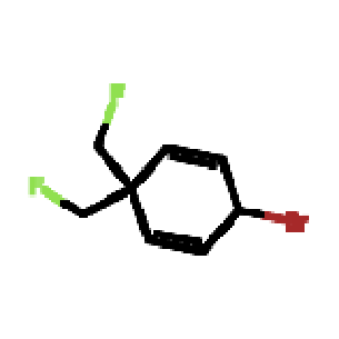 FCC1(CF)C=CC(Br)C=C1